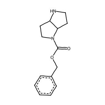 O=C(OCc1ccccc1)N1CCC2NCCC21